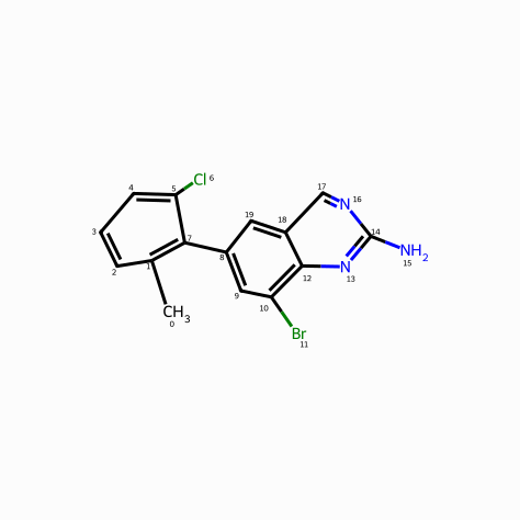 Cc1cccc(Cl)c1-c1cc(Br)c2nc(N)ncc2c1